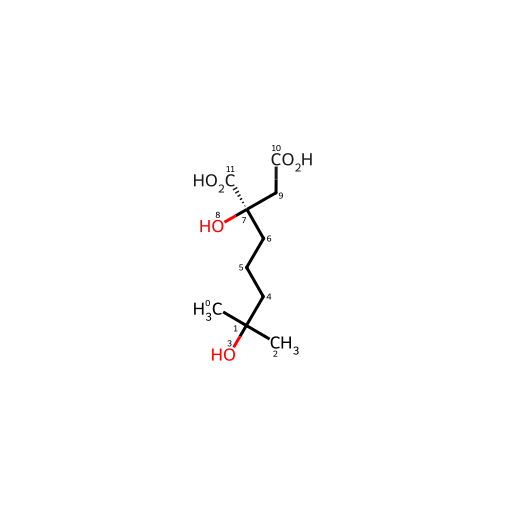 CC(C)(O)CCC[C@@](O)(CC(=O)O)C(=O)O